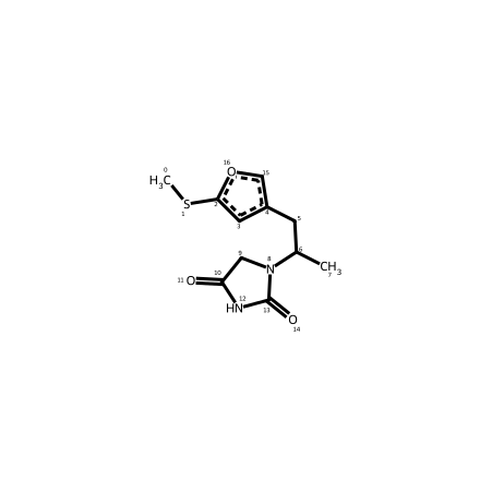 CSc1cc(CC(C)N2CC(=O)NC2=O)co1